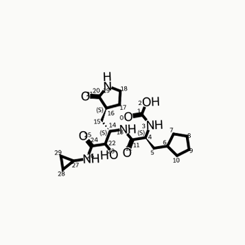 O=C(O)N[C@@H](CC1CCCC1)C(=O)N[C@@H](C[C@@H]1CCNC1=O)C(O)C(=O)NC1CC1